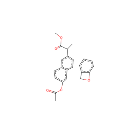 COC(=O)C(C)c1ccc2cc(OC(C)=O)ccc2c1.c1ccc2c(c1)CO2